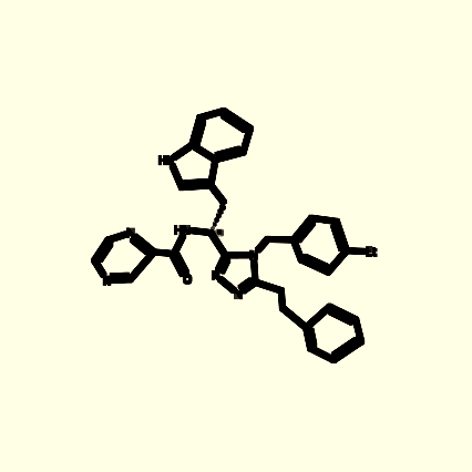 CCc1ccc(Cn2c(CCc3ccccc3)nnc2[C@@H](Cc2c[nH]c3ccccc23)NC(=O)c2cnccn2)cc1